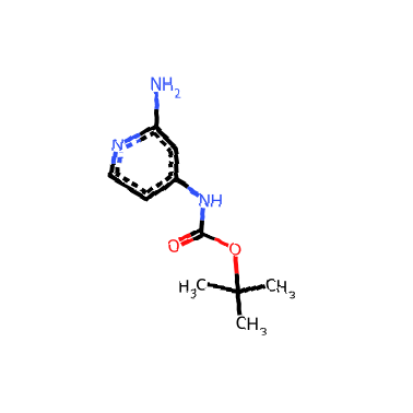 CC(C)(C)OC(=O)Nc1ccnc(N)c1